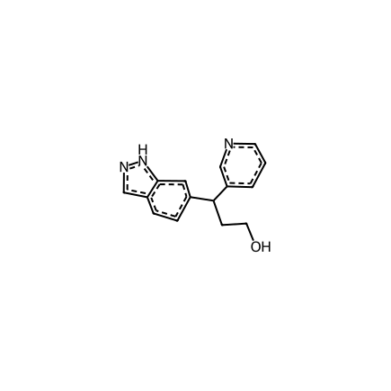 OCCC(c1cccnc1)c1ccc2cn[nH]c2c1